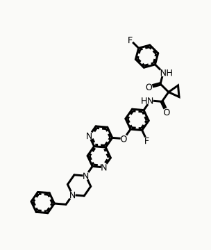 O=C(Nc1ccc(F)cc1)C1(C(=O)Nc2ccc(Oc3ccnc4cc(N5CCN(Cc6ccccc6)CC5)ncc34)c(F)c2)CC1